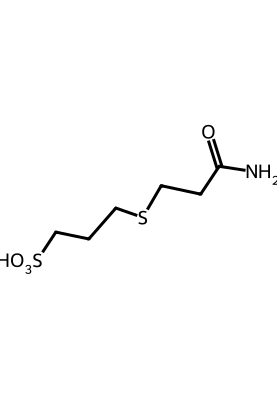 NC(=O)CCSCCCS(=O)(=O)O